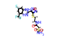 N=C(Nc1cc(F)cc(C(F)F)c1)c1nonc1SCCNC(=O)CS(N)(=O)=O